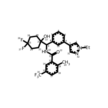 CCn1cc(-c2cccc(C(NC(=O)c3cc(C(F)(F)F)ccc3C)C3(O)CCC(F)(F)CC3)c2)cn1